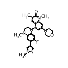 Cc1cc2c(N3CCN(C)c4cc(-c5cnn(C)c5)c(F)cc43)cc(N3CCOCC3)cc2n(C)c1=O